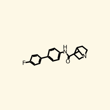 O=C(Nc1ccc(-c2ccc(F)cc2)cc1)C1CN2CCC1CC2